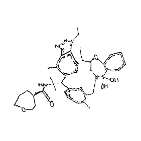 CCC1CN(Cc2cc([C@@H](c3ccc4c(nnn4CC)c3C)C(C)(C)NC(=O)C3CCCOC3)ccc2C)S(O)(O)c2ccccc2O1